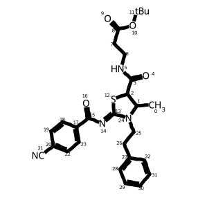 CC1C(C(=O)NCCC(=O)OC(C)(C)C)SC(=NC(=O)c2ccc(C#N)cc2)N1CCc1ccccc1